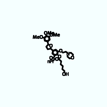 CCCS(=O)(=O)c1cc(C2CCC(c3cc(OC)c(OC)c(OC)c3)O2)cc(OCCN2CCOCC2)c1OCCCCCCO